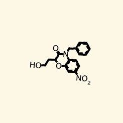 O=C1C(CCO)Oc2cc([N+](=O)[O-])ccc2N1Cc1ccccc1